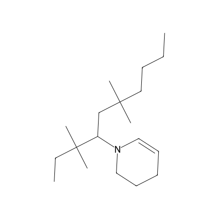 CCCCC(C)(C)CC(N1C=CCCC1)C(C)(C)CC